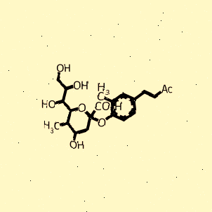 CC(=O)CCc1ccc(OC2(C(=O)O)CC(O)C(C)C(C(O)C(O)CO)O2)c(C)c1